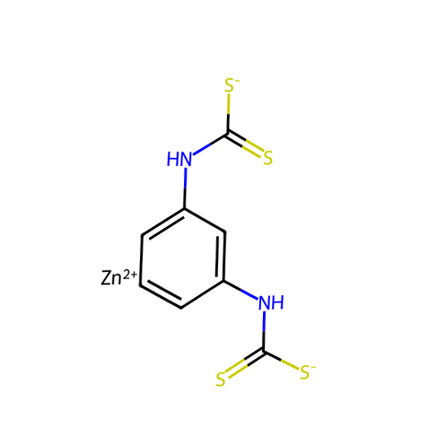 S=C([S-])Nc1cccc(NC(=S)[S-])c1.[Zn+2]